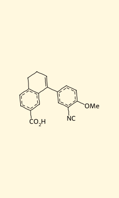 [C-]#[N+]c1cc(C2=CCCc3ccc(C(=O)O)cc32)ccc1OC